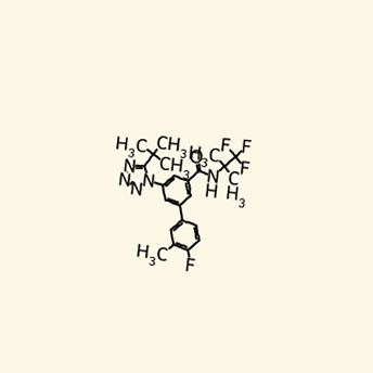 Cc1cc(-c2cc(C(=O)NC(C)(C)C(F)(F)F)cc(-n3nnnc3C(C)(C)C)c2)ccc1F